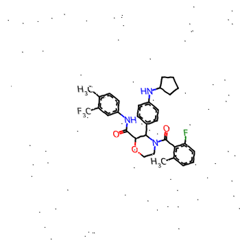 Cc1ccc(NC(=O)C2OCCN(C(=O)c3c(C)cccc3F)C2c2ccc(NC3CCCC3)cc2)cc1C(F)(F)F